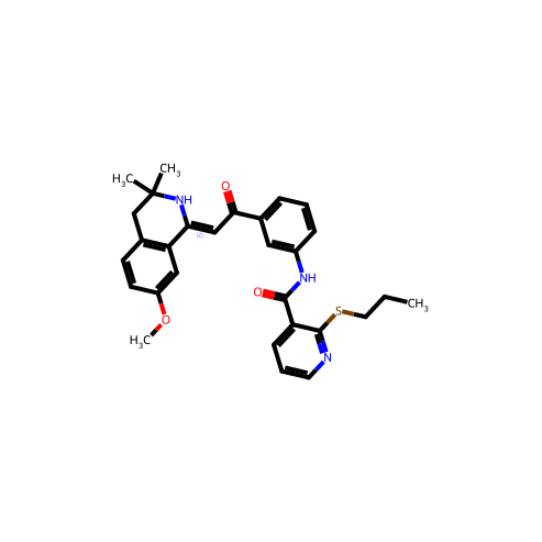 CCCSc1ncccc1C(=O)Nc1cccc(C(=O)/C=C2\NC(C)(C)Cc3ccc(OC)cc32)c1